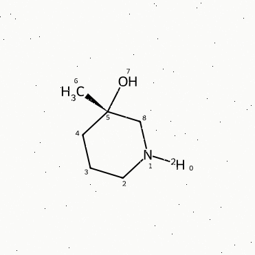 [2H]N1CCC[C@](C)(O)C1